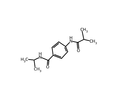 CC(C)NC(=O)c1ccc(NC(=O)C(C)C)cc1